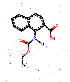 CCOC(=O)N(C)c1c(C(=O)O)ccc2ccccc12